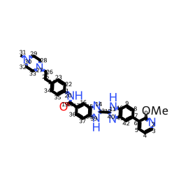 COc1ncccc1-c1ccc2[nH]c(-c3nc4cc(C(=O)Nc5ccc(CCN6CCN(C)CC6)cc5)ccc4[nH]3)nc2c1